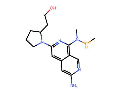 CPN(C)c1nc(N2CCCC2CCO)cc2cc(N)ncc12